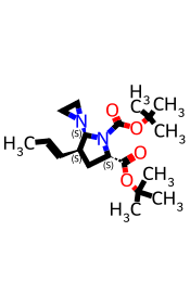 CC=C[C@@H]1C[C@@H](C(=O)OC(C)(C)C)N(C(=O)OC(C)(C)C)[C@@H]1N1CC1